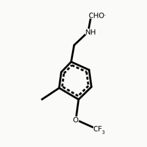 Cc1cc(CN[C]=O)ccc1OC(F)(F)F